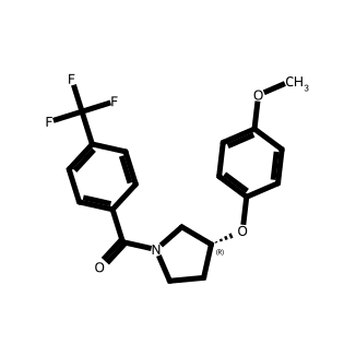 COc1ccc(O[C@@H]2CCN(C(=O)c3ccc(C(F)(F)F)cc3)C2)cc1